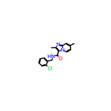 Cc1ccn2c(C(=O)NCc3ccccc3Cl)c(C)nc2c1